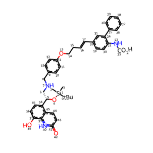 CC(C)(C)[Si](C)(C)O[C@@H](CNCc1ccc(OCC/C=C/c2ccc(NC(=O)O)c(-c3ccccc3)c2)cc1)c1ccc(O)c2[nH]c(=O)ccc12